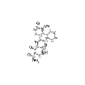 CC(C)n1cc(-c2nc3c(=O)c(C(N)=O)c[nH]c3nc2-c2ccccc2)ccc1=O